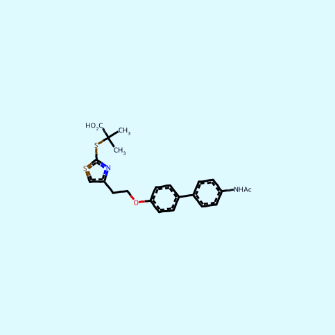 CC(=O)Nc1ccc(-c2ccc(OCCc3csc(SC(C)(C)C(=O)O)n3)cc2)cc1